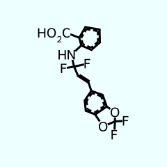 O=C(O)c1ccccc1NC(F)(F)/C=C/c1ccc2c(c1)OC(F)(F)O2